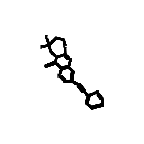 O=c1c2ncc(C#Cc3ccccn3)cc2nc2n1CC(F)(F)CCC2